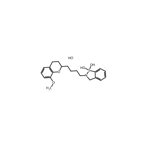 COc1cccc2c1OC(CCCCN1Cc3ccccc3S1(O)O)CC2.Cl